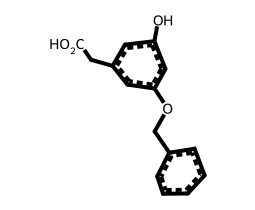 O=C(O)Cc1cc(O)cc(OCc2ccccc2)c1